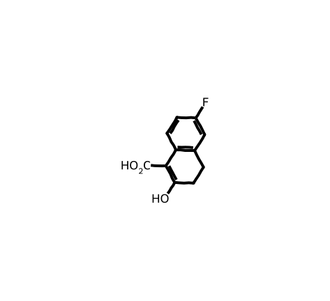 O=C(O)C1=C(O)CCc2cc(F)ccc21